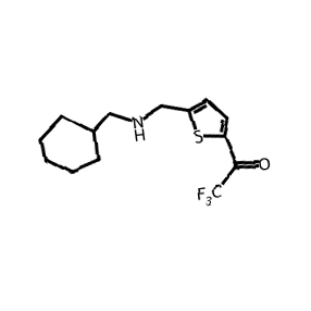 O=C(c1ccc(CNCC2CCCCC2)s1)C(F)(F)F